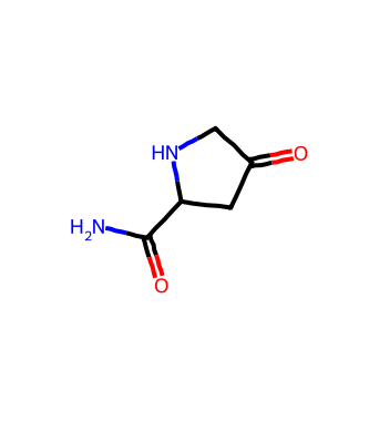 NC(=O)C1CC(=O)CN1